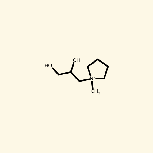 C[N+]1(CC(O)CO)CCCC1